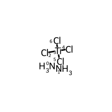 N.N.[Cl][Ti]([Cl])([Cl])[Cl]